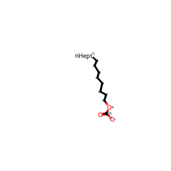 CCCCCCCCCCCCCCCOC([O])=O